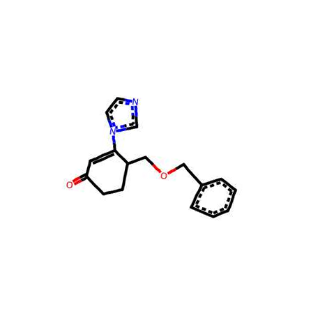 O=C1C=C(n2ccnc2)C(COCc2ccccc2)CC1